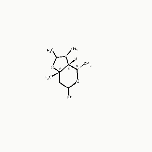 CCC1C[C@]2(C)OC(C)N(C)[C@@H]2[C@H](C)O1